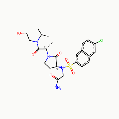 CC(C)N(CCO)C(=O)[C@H](C)N1CC[C@H](N(CC(N)=O)S(=O)(=O)c2ccc3cc(Cl)ccc3c2)C1=O